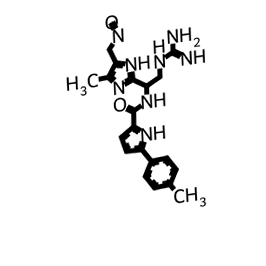 Cc1ccc(-c2ccc(C(=O)NC(CNC(=N)N)c3nc(C)c(CN=O)[nH]3)[nH]2)cc1